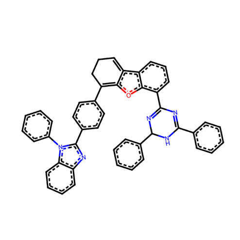 C1=c2c(oc3c(C4=NC(c5ccccc5)NC(c5ccccc5)=N4)cccc23)=C(c2ccc(-c3nc4ccccc4n3-c3ccccc3)cc2)CC1